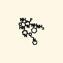 NC(=O)c1cc(F)c(NC2CCCC[C@@H]2N)nc1Nc1ccnc(OCCN2CCCC2)c1